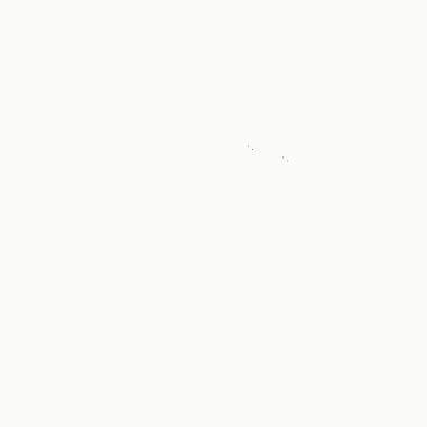 Nc1ncccc1-c1ccc2c(-c3ccccc3)c3ccccc3c(-c3ccccc3)c2c1